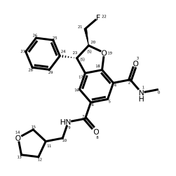 CNC(=O)c1cc(C(=O)NCC2CCOC2)cc2c1O[C@H](CF)[C@H]2c1ccccc1